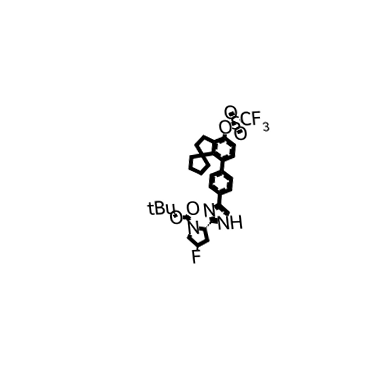 CC(C)(C)OC(=O)N1C[C@@H](F)C[C@H]1c1nc(-c2ccc(-c3ccc(OS(=O)(=O)C(F)(F)F)c4c3C3(CCCC3)CC4)cc2)c[nH]1